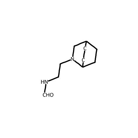 O=CNCCN1CC2CCC1CC2